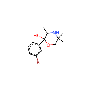 CC1NC(C)(C)COC1(O)c1cccc(Br)c1